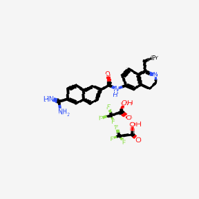 CC(C)CC1=NCCc2cc(NC(=O)c3ccc4cc(C(=N)N)ccc4c3)ccc21.O=C(O)C(F)(F)F.O=C(O)C(F)(F)F